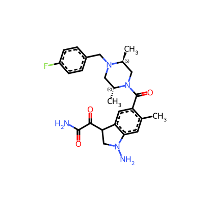 Cc1cc2c(cc1C(=O)N1C[C@H](C)N(Cc3ccc(F)cc3)C[C@H]1C)C(C(=O)C(N)=O)CN2N